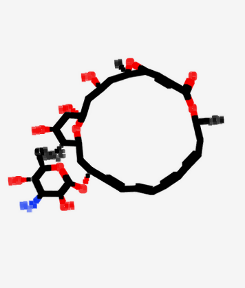 CCCCC1C/C=C/C=C/C=C/C=C/[C@H](O[C@@H]2O[C@H](C)[C@@H](O)[C@H](N)[C@@H]2O)CC2O[C@](O)(C[C@@H](O)C[C@H]3OC3/C=C/C(=O)O1)C[C@H](O)[C@H]2C(=O)O